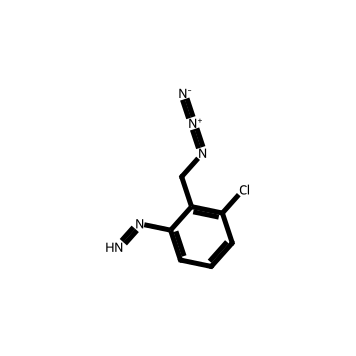 [N-]=[N+]=NCc1c(Cl)cccc1N=N